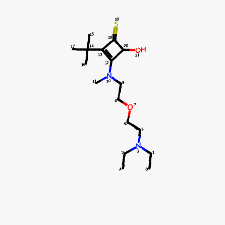 CCN(CC)CCOCCN(C)C1=C(C(C)(C)C)C(=S)C1O